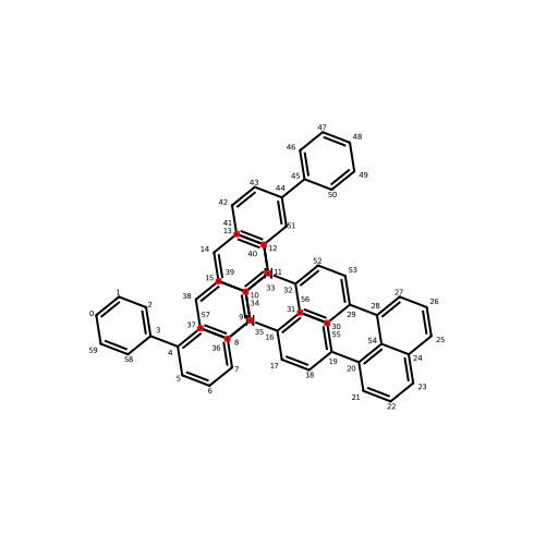 c1ccc(-c2cccc(N(c3ccccc3)c3ccc(-c4cccc5cccc(-c6ccc(N(c7ccccc7)c7cccc(-c8ccccc8)c7)cc6)c45)cc3)c2)cc1